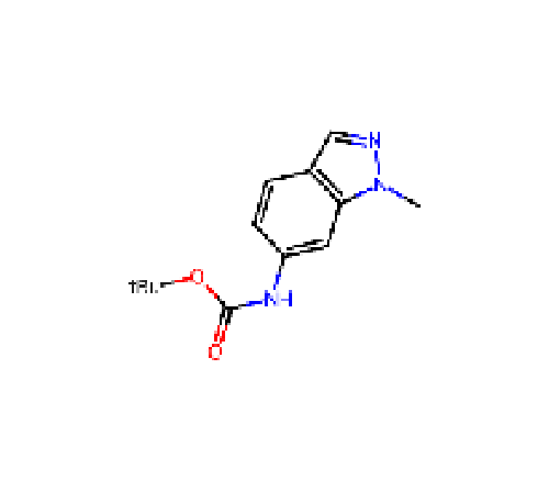 Cn1ncc2ccc(NC(=O)OC(C)(C)C)cc21